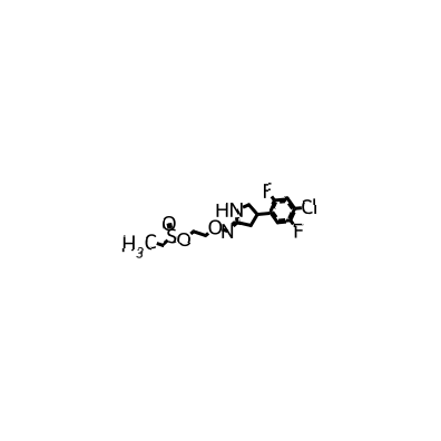 CCS(=O)OCCO/N=C1/CC(c2cc(F)c(Cl)cc2F)CN1